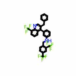 FC(F)(F)c1ccc(CNc2cccc(-c3c(Cc4ccccc4)cnc4c(C(F)(F)F)cccc34)c2)c(C(F)(F)F)c1